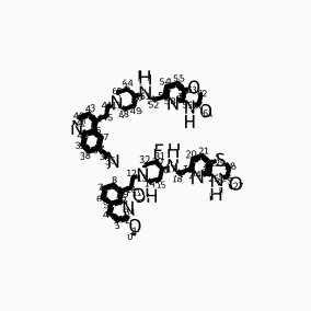 COc1ccc2cccc([C@@H](O)CN3CC[C@H](NCc4ccc5c(n4)NC(=O)CS5)[C@H](F)C3)c2n1.N#Cc1ccc2nccc(CCN3CCC(NCc4ccc5c(n4)NC(=O)CO5)CC3)c2c1